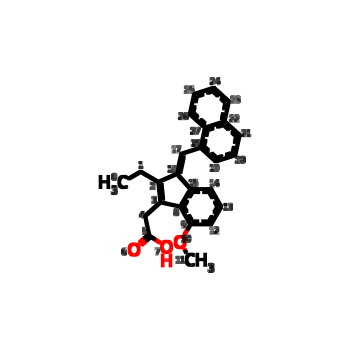 CCC1=C(CC(=O)O)c2c(OC)cccc2/C1=C\c1cccc2ccccc12